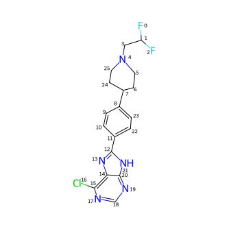 FC(F)CN1CCC(c2ccc(-c3nc4c(Cl)ncnc4[nH]3)cc2)CC1